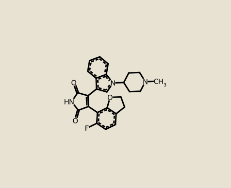 CN1CCC(n2cc(C3=C(c4c(F)ccc5c4OCC5)C(=O)NC3=O)c3ccccc32)CC1